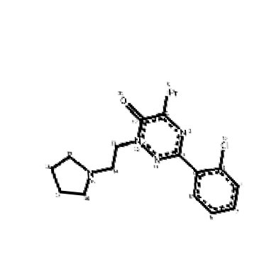 CC(C)c1nc(-c2ccccc2Cl)nn(CCN2CCCC2)c1=O